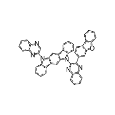 c1ccc2nc(-n3c4ccccc4c4cc5c(cc43)c3ccccc3n5-c3nc4ccccc4nc3-c3ccc4c(c3)oc3ccccc34)cnc2c1